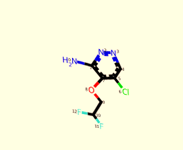 Nc1nncc(Cl)c1OCC(F)F